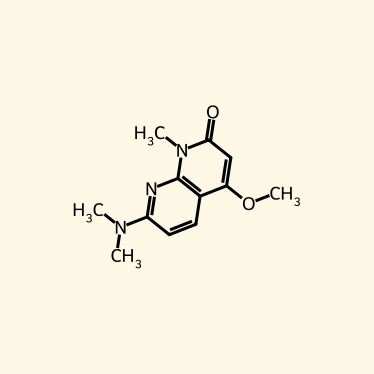 COc1cc(=O)n(C)c2nc(N(C)C)ccc12